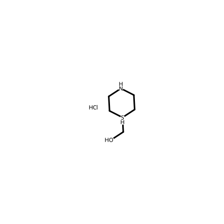 Cl.OC[SH]1CCNCC1